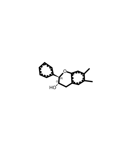 Cc1cc2c(cc1C)O[C@H](c1ccccc1)[C@@H](O)C2